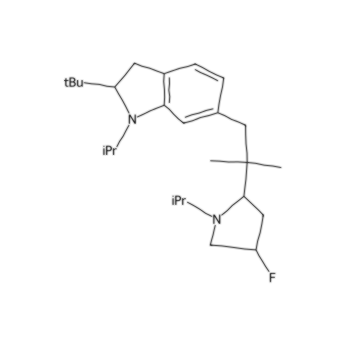 CC(C)N1CC(F)CC1C(C)(C)Cc1ccc2c(c1)N(C(C)C)C(C(C)(C)C)C2